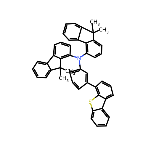 CC1(C)c2ccccc2-c2c(N(c3cccc(-c4cccc5c4sc4ccccc45)c3)c3cccc4c3C(C)(C)c3ccccc3-4)cccc21